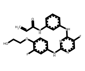 C=CC(=O)Nc1cccc(Nc2nc(Nc3ccc(OCCO)c(F)c3)ncc2F)c1